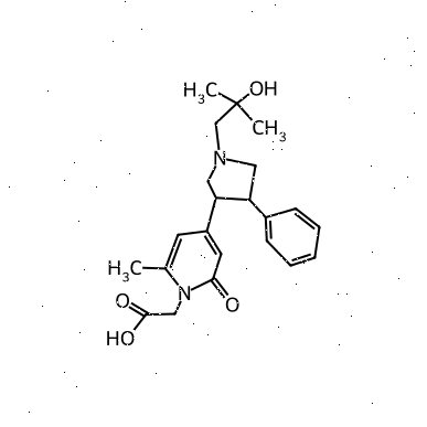 Cc1cc(C2CN(CC(C)(C)O)CC2c2ccccc2)cc(=O)n1CC(=O)O